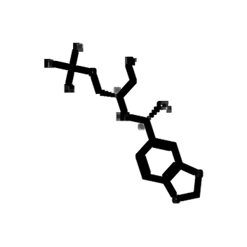 CC[Si](CC)(CC)OC[C@H](CC(C)C)N[C@@H](c1ccc2c(c1)OCO2)C(F)(F)F